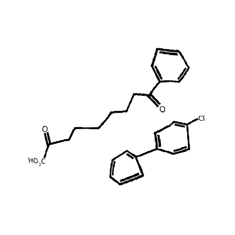 Clc1ccc(-c2ccccc2)cc1.O=C(O)C(=O)CCCCCCC(=O)c1ccccc1